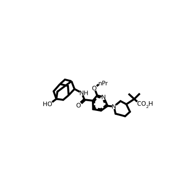 CCCOc1nc(N2CCCC(C(C)(C)C(=O)O)C2)ccc1C(=O)NC1C2CC3CC1CC(O)(C3)C2